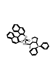 C[C@@H](NP1(=O)Oc2ccc3ccccc3c2-c2c(ccc3ccccc23)O1)[C@@H]1CCCC1P(c1ccccc1)c1ccccc1